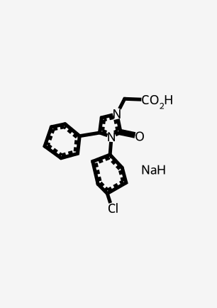 O=C(O)Cn1cc(-c2ccccc2)n(-c2ccc(Cl)cc2)c1=O.[NaH]